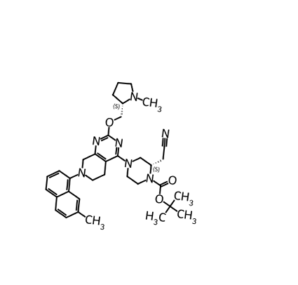 Cc1ccc2cccc(N3CCc4c(nc(OC[C@@H]5CCCN5C)nc4N4CCN(C(=O)OC(C)(C)C)[C@@H](CC#N)C4)C3)c2c1